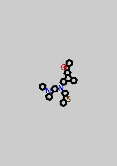 c1ccc(-n2c3ccccc3c3cc(N(c4ccc5sc6ccccc6c5c4)c4ccc5c(c4)c4ccccc4c4cc6c(cc54)oc4ccccc46)ccc32)cc1